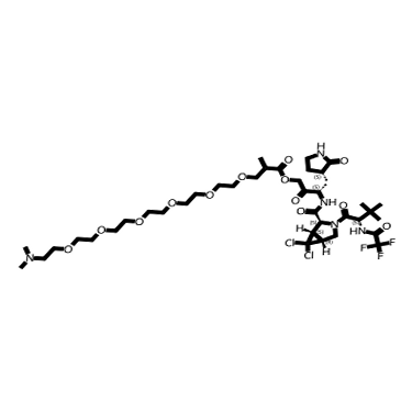 CC(COCCOCCOCCOCCOCCOCCN(C)C)C(=O)OCC(=O)[C@H](C[C@@H]1CCNC1=O)NC(=O)[C@@H]1[C@@H]2[C@H](CN1C(=O)[C@@H](NC(=O)C(F)(F)F)C(C)(C)C)C2(Cl)Cl